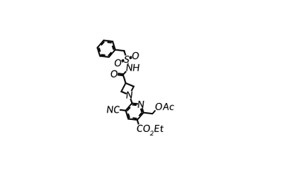 CCOC(=O)c1cc(C#N)c(N2CC(C(=O)NS(=O)(=O)Cc3ccccc3)C2)nc1COC(C)=O